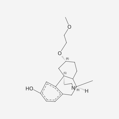 COCCO[C@@H]1CCC2[C@H]3Cc4ccc(O)cc4[C@@]2(CCN3C)C1